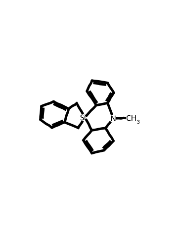 CN1c2ccccc2[Si]2(Cc3ccccc3C2)C2C=CC=CC21